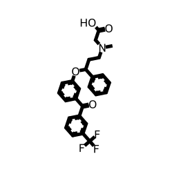 CN(CCC(Oc1cccc(C(=O)c2cccc(C(F)(F)F)c2)c1)c1ccccc1)CC(=O)O